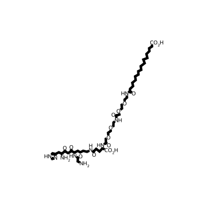 NCC(=O)NC(CCCCNC(=O)CCC(NC(=O)COCCOCCNC(=O)COCCOCCNC(=O)CCCCCCCCCCCCCCCCC(=O)O)C(=O)O)C(=O)CC(=O)[C@@H](N)Cc1c[nH]cn1